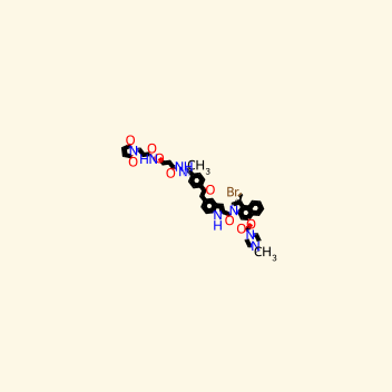 C/C(=N\NC(=O)CCONC(=O)CCN1C(=O)C=CC1=O)c1ccc(C(=O)Cc2ccc3[nH]c(C(=O)N4C[C@@H](CBr)c5c4cc(OC(=O)N4CCN(C)CC4)c4ccccc54)cc3c2)cc1